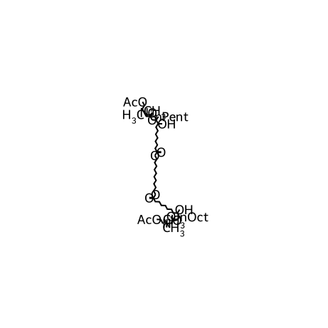 CCCCCCCCC(OC(=O)C[N+](C)(C)CCOC(C)=O)C(O)CCCCCCCC(=O)OCCCCCCCCCCOC(=O)CCCCCCCC(O)C(CCCCC)OC(=O)C[N+](C)(C)CCOC(C)=O